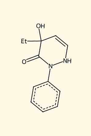 CCC1(O)C=CNN(c2ccccc2)C1=O